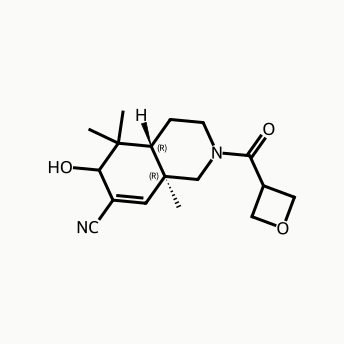 CC1(C)C(O)C(C#N)=C[C@]2(C)CN(C(=O)C3COC3)CC[C@@H]12